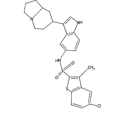 Cc1c(S(=O)(=O)Nc2ccc3[nH]cc(C4CCN5CCCC5C4)c3c2)sc2ccc(Cl)cc12